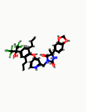 CCCc1cc(C(O)(C(F)(F)F)C(F)(F)F)cc(CCC)c1Oc1ccnc(CN2C(=O)NC(C)(c3ccc4c(c3)OCO4)C2=O)c1